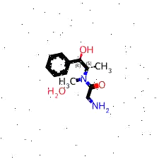 C[C@@H]([C@H](O)c1ccccc1)N(C)C(=O)CN.O